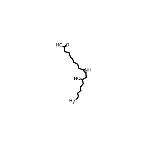 CCCCCCC(O)CC1NC1CCCCCCCC(=O)O